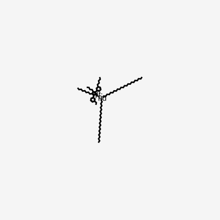 CCCCCCCCC1=C(c2cccc(CC)c2)[N+](=[N-])C(c2cccc(CCCCC)c2)=C1CCCC.CCCCCCCCCCCCCCCCCCCCCC[CH2][Pd][CH2]CCCCCCCCCCCCCCCCCCCCCC